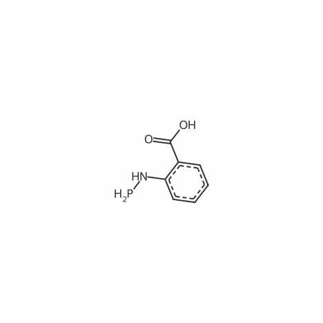 O=C(O)c1ccccc1NP